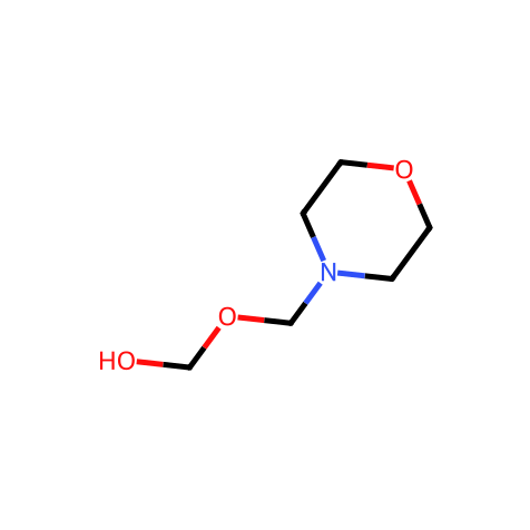 OCOCN1CCOCC1